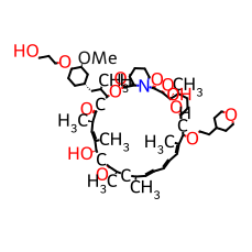 CO[C@@H]1C[C@H](C[C@@H](C)[C@@H]2CC(=O)[C@H](C)/C=C(\C)[C@@H](O)CC(=O)[C@H](C)C[C@H](C)/C=C/C=C/C=C(\C)C(OCCC3CCOCC3)C[C@@H]3CC[C@@H](C)[C@@](O)(O3)C(=O)C(=O)N3CCCC[C@H]3C(=O)O2)CC[C@H]1OCCCO